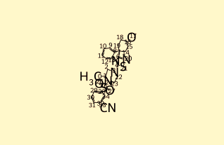 CC1CN(c2nc(C3(c4ccccc4)CCC(=O)CC3)ns2)CCN1S(=O)(=O)c1cccc(C#N)c1